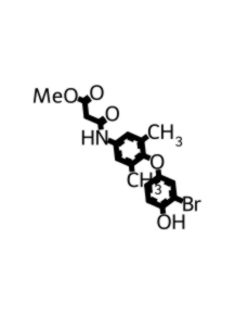 COC(=O)CC(=O)Nc1cc(C)c(Oc2ccc(O)c(Br)c2)c(C)c1